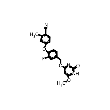 COc1cc(OCc2ccc(Oc3ccc(C#N)c(C)c3)c(F)c2)nc(=O)[nH]1